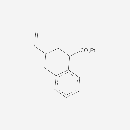 C=CC1Cc2ccccc2C(C(=O)OCC)C1